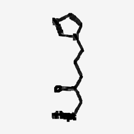 CCCCCCCCC(=O)CCCn1ccnc1